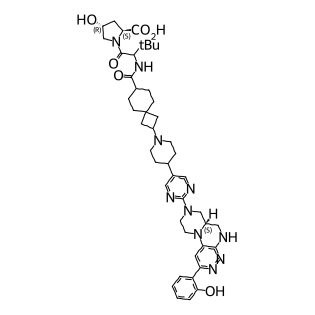 CC(C)(C)C(NC(=O)C1CCC2(CC1)CC(N1CCC(c3cnc(N4CCN5c6cc(-c7ccccc7O)nnc6NC[C@H]5C4)nc3)CC1)C2)C(=O)N1C[C@H](O)C[C@H]1C(=O)O